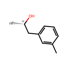 CCC[C@H](O)Cc1cccc(C)c1